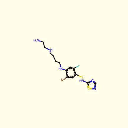 NCCNCCCCNc1cc(F)c(SNc2ncns2)cc1Br